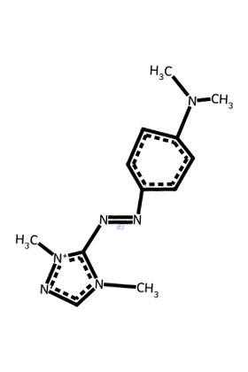 CN(C)c1ccc(/N=N/c2n(C)cn[n+]2C)cc1